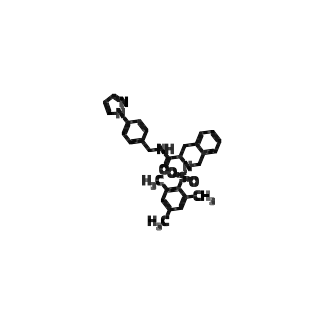 Cc1cc(C)c(S(=O)(=O)N2Cc3ccccc3CC2C(=O)NCc2ccc(-n3cccn3)cc2)c(C)c1